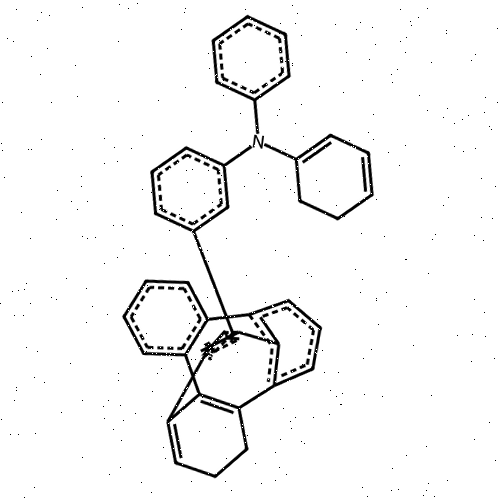 C1=CCCC(N(c2ccccc2)c2cccc(-c3ccc4c(c3)-c3c5cccc3-c3ccccc3C3=C5CCC=C34)c2)=C1